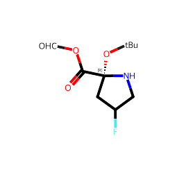 CC(C)(C)O[C@@]1(C(=O)OC=O)CC(F)CN1